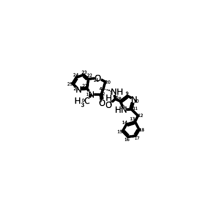 CN1C(=O)[C@@H](NC(O)c2cnc(Cc3ccccc3)[nH]2)COc2cccnc21